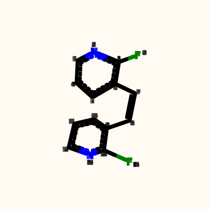 Fc1ncccc1/C=C\c1cccnc1F